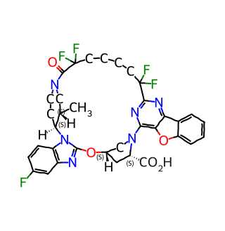 C[C@H]1CN2CC[C@@H]1n1c(nc3cc(F)ccc31)O[C@H]1C[C@@H](C(=O)O)N(C1)c1nc(nc3c1oc1ccccc13)C(F)(F)CCCCC(F)(F)C2=O